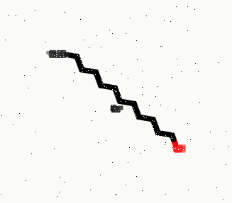 O=C([O-])CCCCCCCCCCCO.[Cs+]